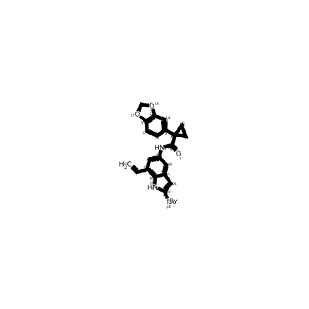 C=Cc1cc(NC(=O)C2(c3ccc4c(c3)OCO4)CC2)cc2cc(C(C)(C)C)[nH]c12